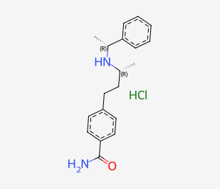 C[C@H](CCc1ccc(C(N)=O)cc1)N[C@H](C)c1ccccc1.Cl